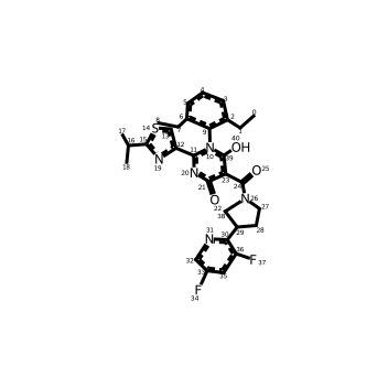 CCc1cccc(CC)c1-n1c(-c2csc(C(C)C)n2)nc(=O)c(C(=O)N2CCC(c3ncc(F)cc3F)C2)c1O